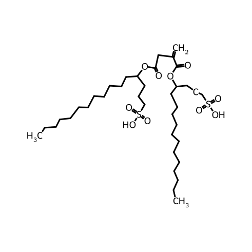 C=C(CC(=O)OC(CCCCCCCCCCCC)CCCS(=O)(=O)O)C(=O)OC(CCCCCCCCCCCC)CCCS(=O)(=O)O